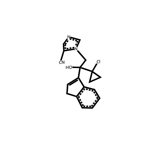 N#Cc1cncn1CC(O)(C1=CCc2ccccc21)C1(Cl)CC1